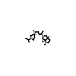 CC(C)N1CC[C@H](N(C)CCC(C)N2C[C@@H]3CCN(C)[C@@H]3C2)C1